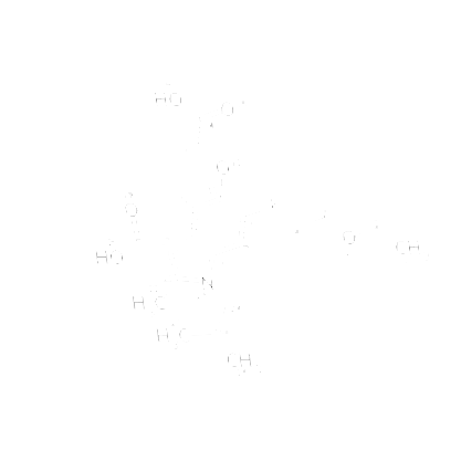 CCOCCCc1cc2c(cc1OCC(=O)O)c(C(=O)O)c(C)n2CC(C)C